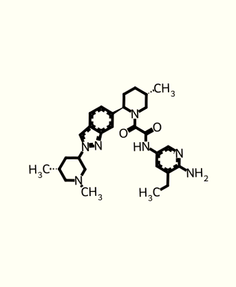 CCc1cc(NC(=O)C(=O)N2C[C@@H](C)CC[C@@H]2c2ccc3cn(C4C[C@@H](C)CN(C)C4)nc3c2)cnc1N